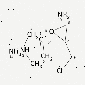 C=C.CNC.ClCC1CO1.N.N